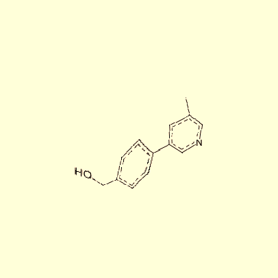 Cc1cncc(-c2ccc(CO)cc2)c1